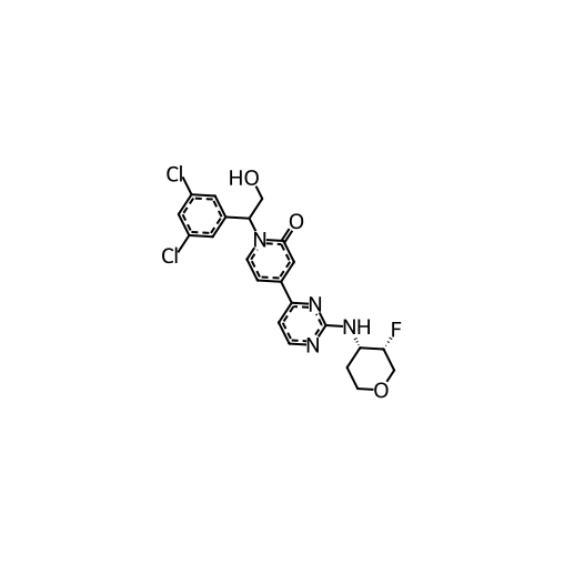 O=c1cc(-c2ccnc(N[C@H]3CCOC[C@H]3F)n2)ccn1C(CO)c1cc(Cl)cc(Cl)c1